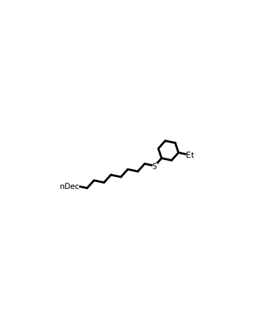 CCCCCCCCCCCCCCCCCCSC1CCCC(CC)C1